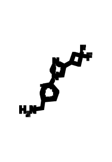 NCc1c[c]c(-n2cnc(C3CC(F)(F)C3)c2)cc1